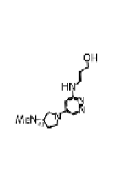 CN[C@@H]1CCN(c2cnnc(NCCCO)c2)C1